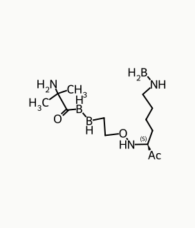 BNCCCC[C@H](NOCCBBC(=O)C(C)(C)N)C(C)=O